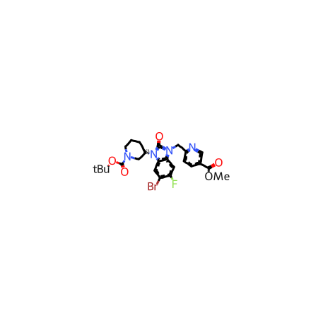 COC(=O)c1ccc(Cn2c(=O)n([C@H]3CCCN(C(=O)OC(C)(C)C)C3)c3cc(Br)c(F)cc32)nc1